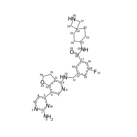 Nc1nccc(-c2cnc(NCc3cc(F)cc(C(=O)NC4CCC5(CC4)CNC5)c3)c3c2OCC3)n1